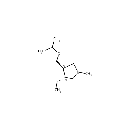 CO[C@H]1CN(C)C[C@@H]1COC(C)C